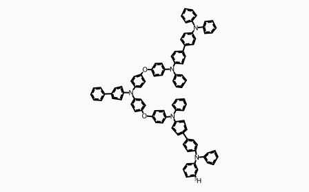 [3H]c1cccc(N(c2ccccc2)c2ccc(-c3ccc(N(c4ccccc4)c4ccc(Oc5ccc(N(c6ccc(Oc7ccc(N(c8ccccc8)c8ccc(-c9ccc(N(c%10ccccc%10)c%10ccccc%10)cc9)cc8)cc7)cc6)c6ccc(-c7ccccc7)cc6)cc5)cc4)cc3)cc2)c1